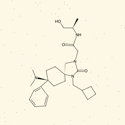 C[C@H](CO)NC(=O)CN1C[C@]2(CC[C@](c3ccccc3)(N(C)C)CC2)N(CC2CCC2)C1=O